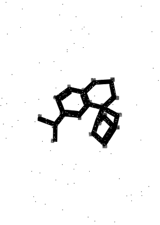 CC(C)c1ccc2c(c1)C1(CCC2)CC2=CCC1C2